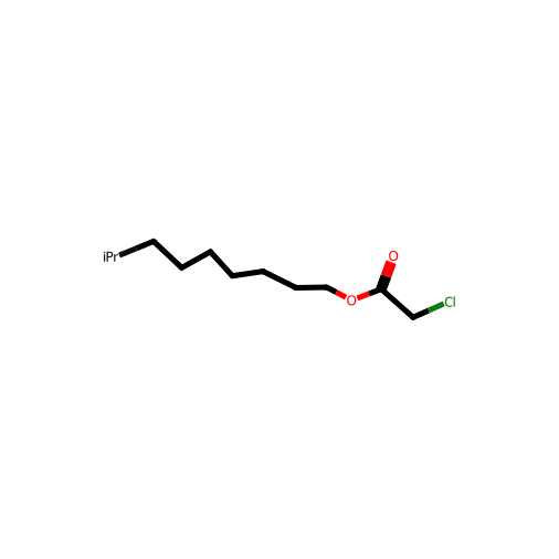 CC(C)CCCCCCCOC(=O)CCl